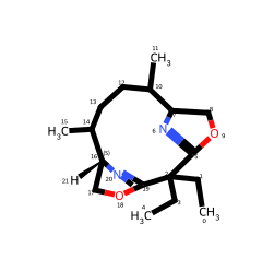 CCC1(CC)C2=NC(CO2)C(C)CCC(C)[C@H]2COC1=N2